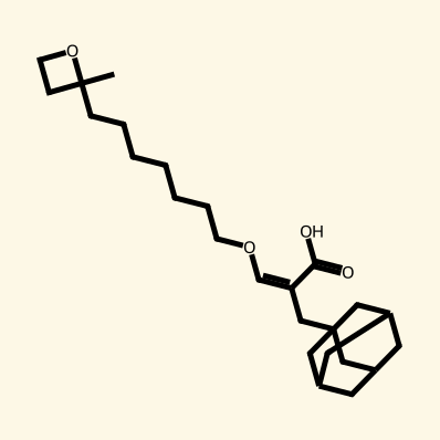 CC1(CCCCCCCOC=C(CC23CC4CC(CC(C4)C2)C3)C(=O)O)CCO1